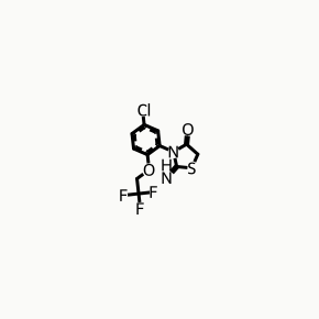 N=C1SCC(=O)N1c1cc(Cl)ccc1OCC(F)(F)F